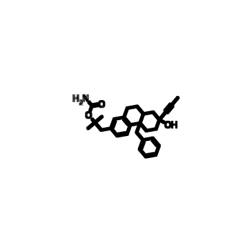 CC#CC1(O)CCC2(Cc3ccccc3)c3ccc(CC(C)(C)OC(N)=O)cc3CCC2C1